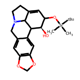 CC(C)(C)[Si](C)(C)OC1C=C2CCN3Cc4cc5c(cc4C(C23)[C@@H]1O)OCO5